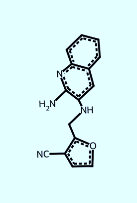 N#Cc1ccoc1CNc1cc2ccccc2nc1N